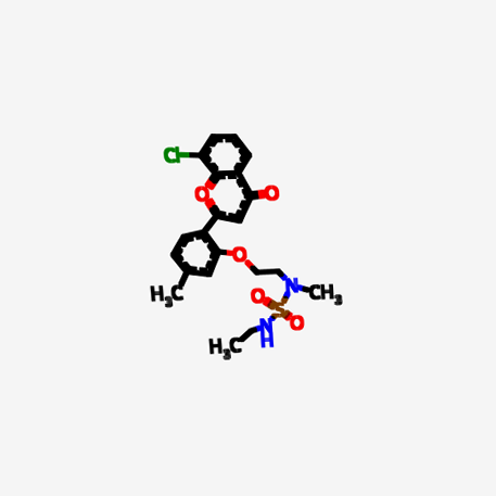 CCNS(=O)(=O)N(C)CCOc1cc(C)ccc1-c1cc(=O)c2cccc(Cl)c2o1